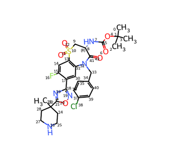 CC(C)(C)OC(=O)N[C@H]1CS(=O)(=O)c2cc(F)c(-c3noc(C4(C)CCNCC4)n3)cc2N(Cc2ccc(Cl)cc2)C1=O